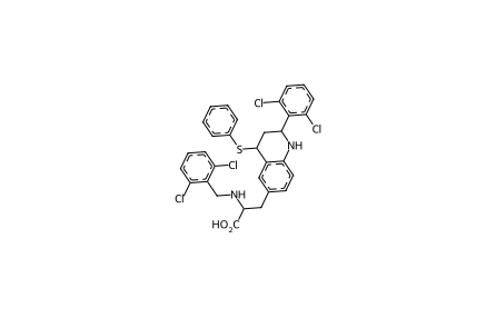 O=C(O)C(Cc1ccc2c(c1)C(Sc1ccccc1)CC(c1c(Cl)cccc1Cl)N2)NCc1c(Cl)cccc1Cl